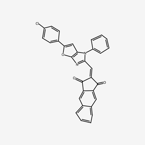 O=C1C(=Cc2nc3oc(-c4ccc(Cl)cc4)cc3n2-c2ccccc2)C(=O)c2cc3ccccc3cc21